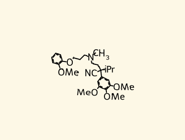 COc1ccccc1OCCCN(C)CCC(C#N)(c1cc(OC)c(OC)c(OC)c1)C(C)C